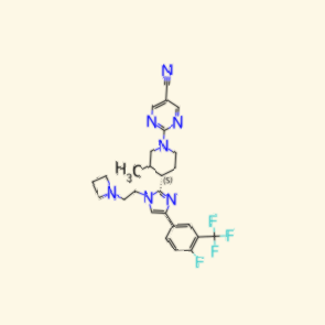 CC1CN(c2ncc(C#N)cn2)CC[C@@H]1c1nc(-c2ccc(F)c(C(F)(F)F)c2)cn1CCN1CCC1